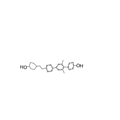 Cc1cc(-c2ccc(CCC3CCC(O)CC3)cc2)cc(C)c1-c1ccc(O)cc1